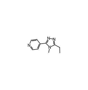 CCc1nnc(-c2ccncc2)n1C